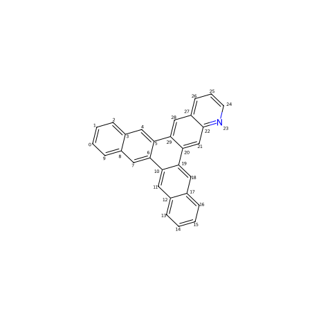 c1ccc2cc3c(cc2c1)c1cc2ccccc2cc1c1cc2ncccc2cc31